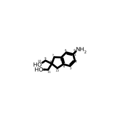 Nc1ccc2c(c1)CC(CO)(CO)C2